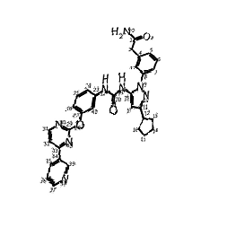 NC(=O)Cc1cccc(-n2nc(C3CCCC3)cc2NC(=O)Nc2cccc(Oc3nccc(-c4cccnc4)n3)c2)c1